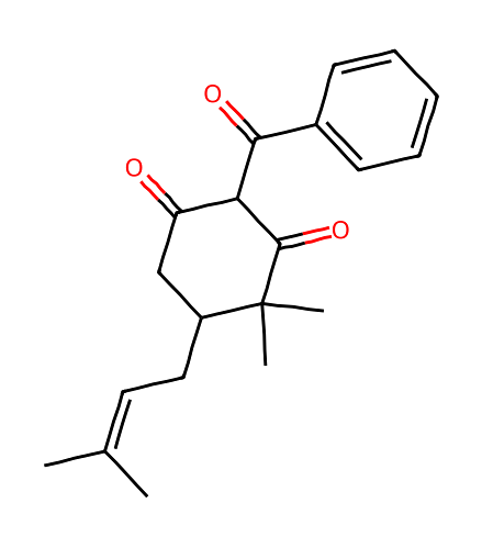 CC(C)=CCC1CC(=O)C(C(=O)c2ccccc2)C(=O)C1(C)C